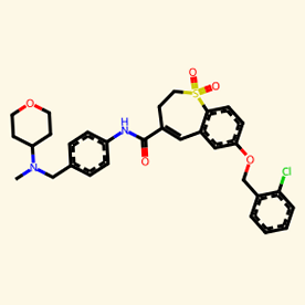 CN(Cc1ccc(NC(=O)C2=Cc3cc(OCc4ccccc4Cl)ccc3S(=O)(=O)CC2)cc1)C1CCOCC1